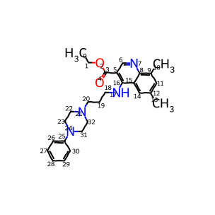 CCOC(=O)c1cnc2c(C)cc(C)cc2c1NCCCN1CCN(c2ccccc2)CC1